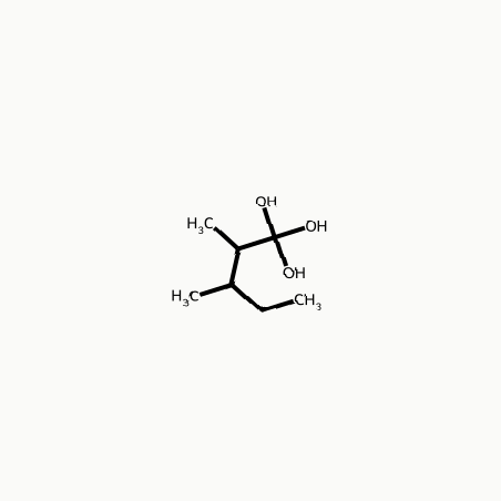 CCC(C)C(C)C(O)(O)O